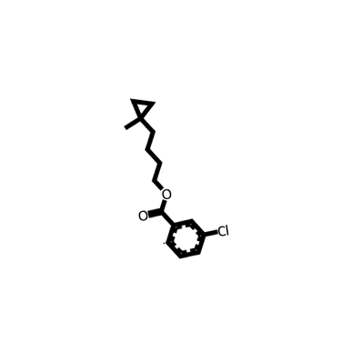 CC1(CCCCOC(=O)c2[c]ccc(Cl)c2)CC1